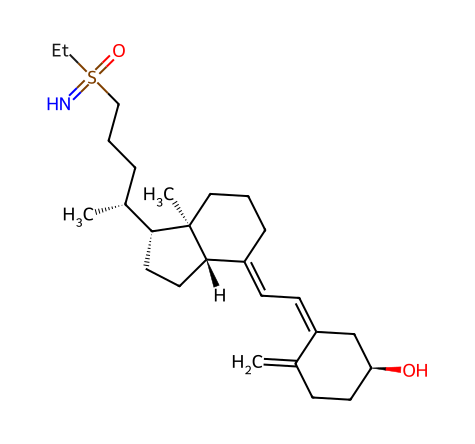 C=C1CC[C@H](O)C/C1=C/C=C1\CCC[C@]2(C)[C@@H]([C@H](C)CCCS(=N)(=O)CC)CC[C@@H]12